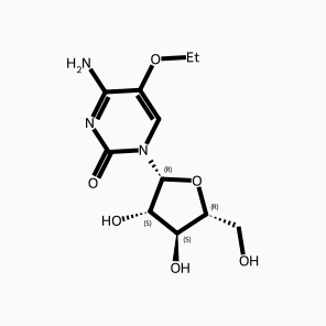 CCOc1cn([C@@H]2O[C@H](CO)[C@@H](O)[C@@H]2O)c(=O)nc1N